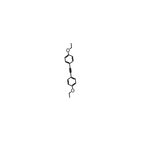 CCOc1ccc(C#Cc2ccc(OCC)cc2)cc1